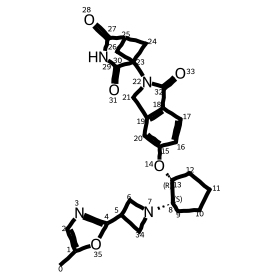 Cc1cnc(C2CN([C@H]3CCCC[C@H]3Oc3ccc4c(c3)CN(C35CC(C3)C(=O)NC5=O)C4=O)C2)o1